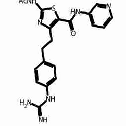 CC(=O)Nc1nc(CCc2ccc(NC(=N)N)cc2)c(C(=O)Nc2cccnc2)s1